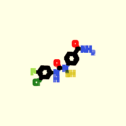 NC(=O)c1ccc(N(S)C(=O)Nc2ccc(F)c(Cl)c2)cc1